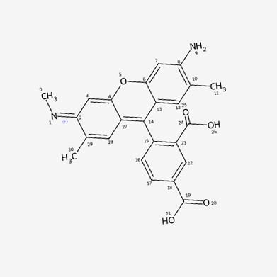 C/N=c1\cc2oc3cc(N)c(C)cc3c(-c3ccc(C(=O)O)cc3C(=O)O)c-2cc1C